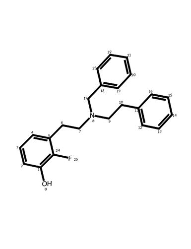 Oc1cccc(CCN(CCc2ccccc2)Cc2ccccc2)c1F